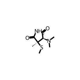 CS[C@@](C)(C(N)=O)[C@@H](C=O)N(C)C